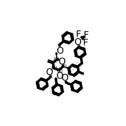 C=C1[C@@H](COCc2ccccc2)O[C@@H](c2cc(Cc3ccc(OC(F)(F)F)cc3)c(C)cc2OCc2ccccc2)[C@H](OCc2ccccc2)[C@H]1OCc1ccccc1